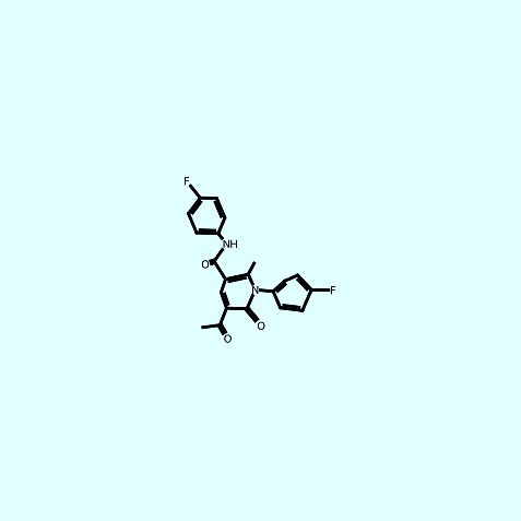 CC(=O)c1cc(C(=O)Nc2ccc(F)cc2)c(C)n(-c2ccc(F)cc2)c1=O